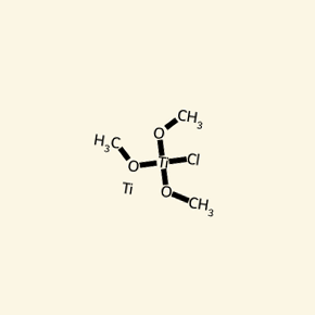 C[O][Ti]([Cl])([O]C)[O]C.[Ti]